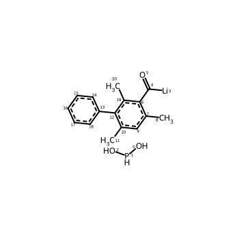 OPO.[Li][C](=O)c1c(C)cc(C)c(-c2ccccc2)c1C